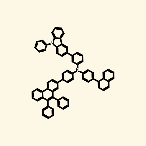 c1ccc(-c2c(-c3ccccc3)c3cc(-c4ccc(N(c5ccc(-c6cccc7ccccc67)cc5)c5cccc(-c6ccc7c(c6)c6ccccc6n7-c6ccccc6)c5)cc4)ccc3c3ccccc23)cc1